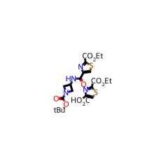 CCOC(=O)c1nc(C(=O)NC2CN(C(=O)OC(C)(C)C)C2)cs1.CCOC(=O)c1nc(C(=O)O)cs1